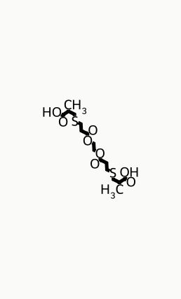 CC(CSCCC(=O)OCCOC(=O)CCSCC(C)C(=O)O)C(=O)O